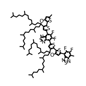 Cc1cc2c(s1)-c1sc(-c3c(F)c(F)c(-c4cc5c(s4)-c4sc(-c6c(F)c(F)c(C)c7nsnc67)cc4OC5(CCC(C)CCCC(C)CCCC(C)C)CCC(C)CCCC(C)CCCC(C)C)c4nsnc34)cc1C(CCC(C)CCCC(C)CCCC(C)C)(CCC(C)CCCC(C)CCCC(C)C)O2